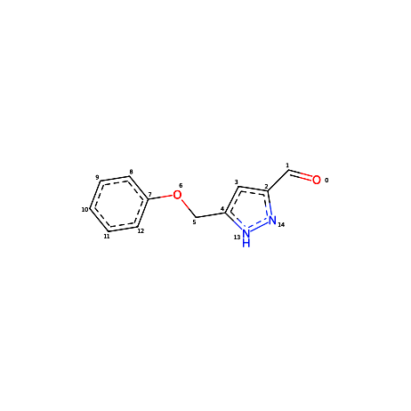 O=Cc1cc(COc2ccccc2)[nH]n1